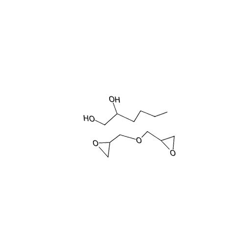 C(OCC1CO1)C1CO1.CCCCC(O)CO